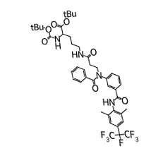 Cc1cc(C(F)(C(F)(F)F)C(F)(F)F)cc(C)c1NC(=O)c1cccc(N(CCC(=O)NCCCC(NC(=O)OC(C)(C)C)C(=O)OC(C)(C)C)C(=O)c2ccccc2)c1